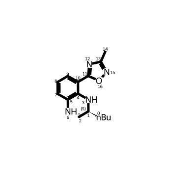 [CH2]CCC[C@H](C)Nc1c(N)cccc1-c1nc(C)no1